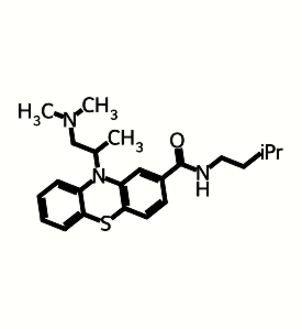 CC(C)CCNC(=O)c1ccc2c(c1)N(C(C)CN(C)C)c1ccccc1S2